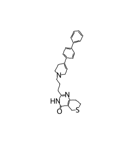 O=c1[nH]c(CCCN2CC=C(c3ccc(-c4ccccc4)cc3)CC2)nc2c1CSCC2